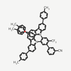 Cc1ccc(-c2ccc3c(c2)c2cc(-c4ccc(C)cc4)ccc2n3-c2cc(-c3cccc(C#N)c3)c(C(F)(F)F)cc2-n2c3ccc(-c4ccc(C)cc4)cc3c3cc(-c4ccc(C)cc4)ccc32)cc1